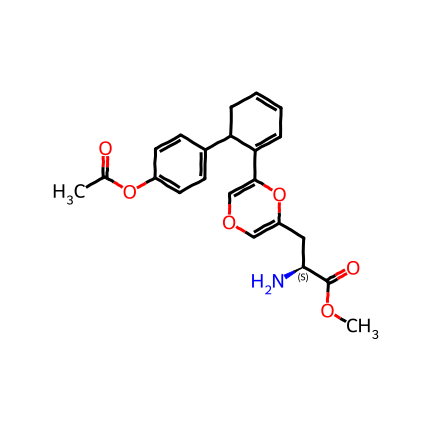 COC(=O)[C@@H](N)CC1=COC=C(C2=CC=CCC2c2ccc(OC(C)=O)cc2)O1